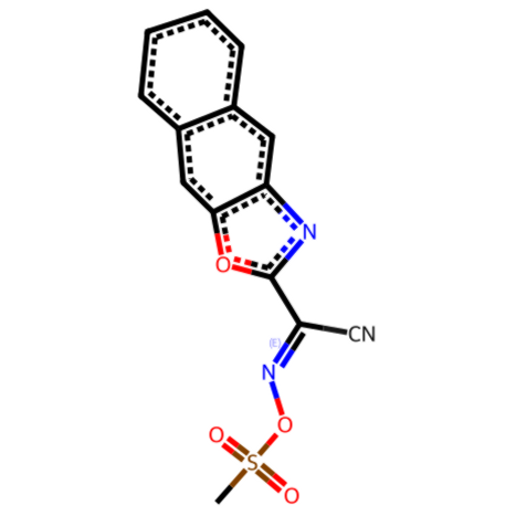 CS(=O)(=O)O/N=C(\C#N)c1nc2cc3ccccc3cc2o1